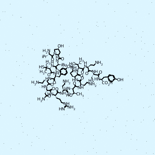 CC[C@H](C)[C@H](NC(=O)[C@@H]1C[C@@H](O)CN1C(=O)[C@@H](N)C(C)C)C(=O)N[C@H](C(=O)N[C@@H](Cc1ccc(O)cc1)C(=O)N[C@@H](CCN)C(=O)N[C@@H](CC(N)=O)C(=O)N[C@@H](CCCNC(=N)N)C(=O)N[C@@H](CCN)C(=O)N[C@H](C(=O)N[C@H](CCN)C(=O)N[C@@H](CCCN)C(=O)N[C@H](C(=O)N[C@@H](CCN)C(=O)N[C@@H](CS)C(=O)N[C@@H](Cc1ccc(O)cc1)C(=O)O)[C@@H](C)O)[C@@H](C)O)C(C)(C)S